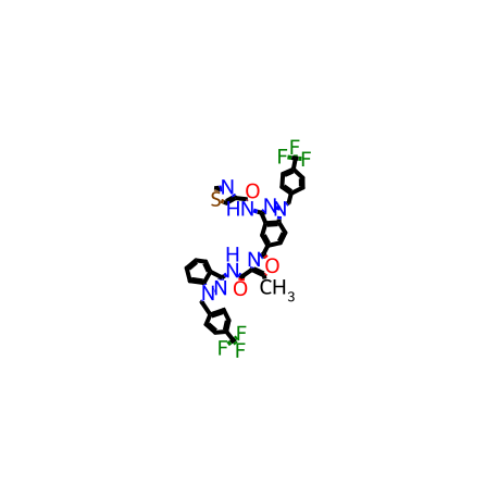 Cc1oc(-c2ccc3c(c2)c(NC(=O)c2cscn2)nn3Cc2ccc(C(F)(F)F)cc2)nc1C(=O)Nc1nn(Cc2ccc(C(F)(F)F)cc2)c2ccccc12